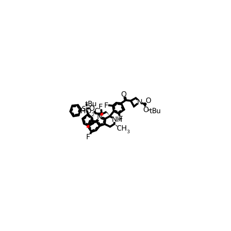 C[C@@H]1Cc2c(n(C(=O)O)c3ccc(F)cc23)[C@@](CC(F)(F)CO[Si](c2ccccc2)(c2ccccc2)C(C)(C)C)(c2c(F)cc(C(=O)C3CN(C(=O)OC(C)(C)C)C3)cc2F)N1